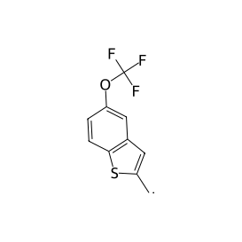 [CH2]c1cc2cc(OC(F)(F)F)ccc2s1